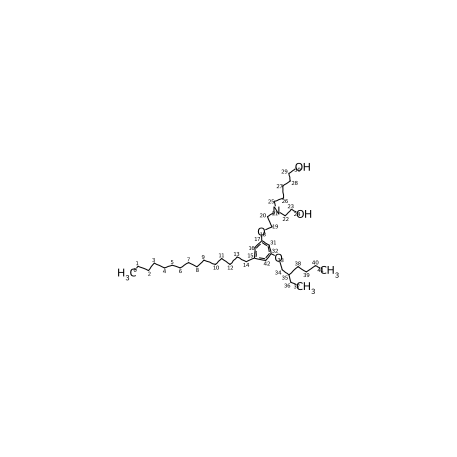 CCCCCCCCCCCCCCCc1cc(OCCN(CCO)CCCCCO)cc(OCC(CC)CCCC)c1